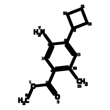 COC(=O)c1cc(N)c(C2CCC2)cc1C